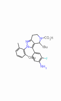 Cc1cccc(OCC(C)C)c1-n1nc2c(c1-c1ccc(N)c(F)c1)C(C(C)(C)C)N(C(=O)O)CC2